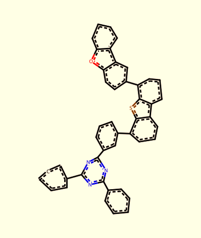 c1ccc(-c2nc(-c3ccccc3)nc(-c3cccc(-c4cccc5c4sc4c(-c6ccc7oc8ccccc8c7c6)cccc45)c3)n2)cc1